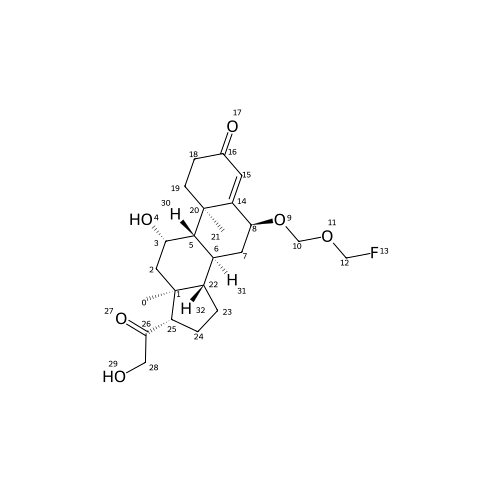 C[C@]12C[C@H](O)[C@H]3[C@@H](C[C@H](OCOCF)C4=CC(=O)CC[C@@]43C)[C@@H]1CC[C@@H]2C(=O)CO